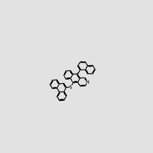 c1ccc2c(-c3c4ccccc4c(Sc4cc5ccccc5c5ccccc45)c4ccncc34)cccc2c1